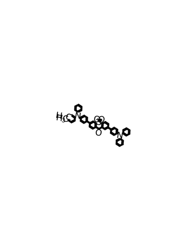 C#C/C=C\C(=C/C)N(c1ccccc1)c1ccc(-c2ccc3c(c2)S(=O)(=O)c2ccc(-c4ccc(N(c5ccccc5)c5ccccc5)cc4)cc2C3=O)cc1